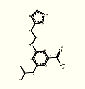 CC(C)Cc1cc(OCCc2ccsc2)cc(C(=O)O)c1